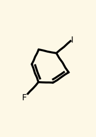 FC1=CCC(I)C=C1